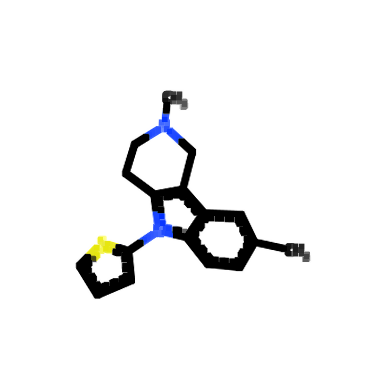 Cc1ccc2c(c1)c1c(n2-c2cccs2)CCN(C)C1